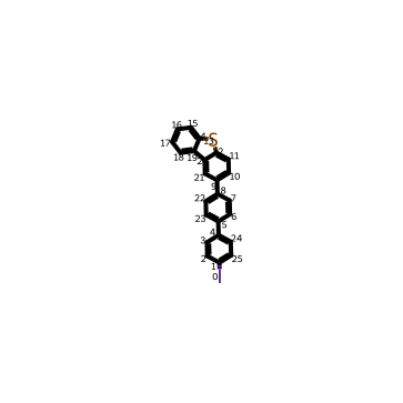 Ic1ccc(-c2ccc(-c3ccc4sc5ccccc5c4c3)cc2)cc1